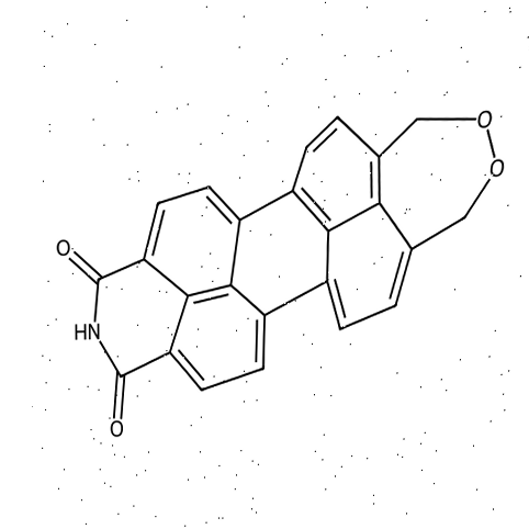 O=C1NC(=O)c2ccc3c4ccc5c6c(ccc(c7ccc1c2c73)c64)COOC5